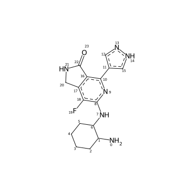 NC1CCCCC1Nc1nc(-c2cn[nH]c2)c2c(c1F)CNC2=O